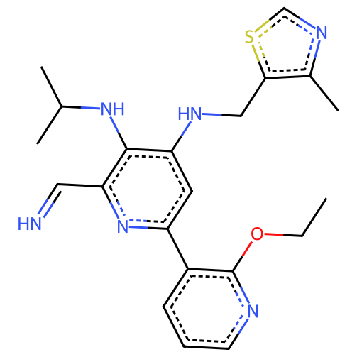 CCOc1ncccc1-c1cc(NCc2scnc2C)c(NC(C)C)c(C=N)n1